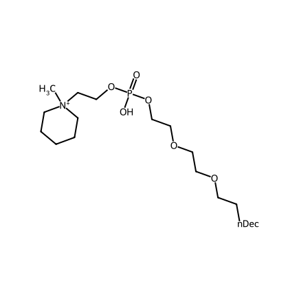 CCCCCCCCCCCCOCCOCCOP(=O)(O)OCC[N+]1(C)CCCCC1